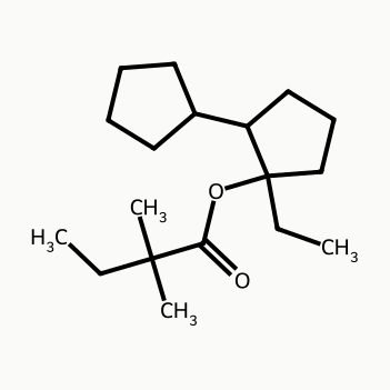 CCC(C)(C)C(=O)OC1(CC)CCCC1C1CCCC1